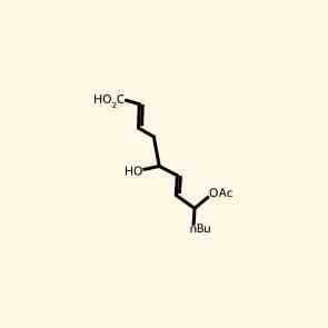 CCCCC(C=CC(O)CC=CC(=O)O)OC(C)=O